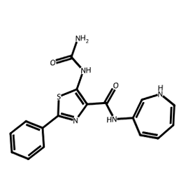 NC(=O)Nc1sc(-c2ccccc2)nc1C(=O)NC1=CNC=CC=C1